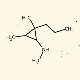 CCCC1(C)C(C)C1NC